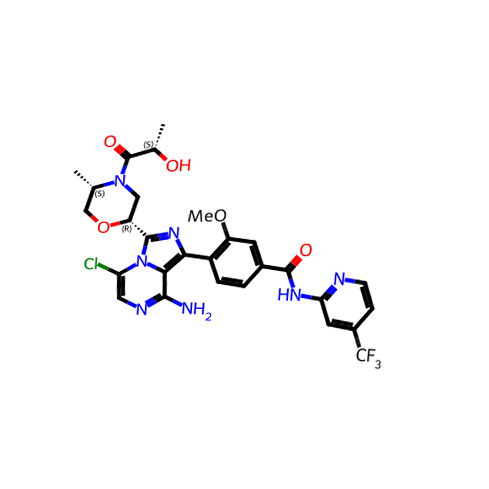 COc1cc(C(=O)Nc2cc(C(F)(F)F)ccn2)ccc1-c1nc([C@H]2CN(C(=O)[C@H](C)O)[C@@H](C)CO2)n2c(Cl)cnc(N)c12